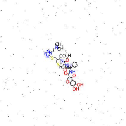 CO[C@@]1(NC(=O)C(NC(=O)c2coc3cc(O)c(O)cc3c2=O)c2ccccc2)C(=O)N2C(C(=O)O)=C(CSc3nnnn3CCN(C)C)CS[C@H]21